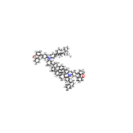 CC1(C)c2ccccc2-c2ccc(-c3ccc(N(c4ccc(-c5cccc6oc7ccccc7c56)cc4)c4cccc(-c5ccc(-c6ccc7c(c6)C(c6ccccc6)(c6ccccc6)c6cc(N(c8ccc(-c9cccc%10oc%11ccccc%11c9%10)cc8)c8cccc(-c9cccc%10ccccc9%10)c8)ccc6-7)c6ccccc56)c4)cc3)cc21